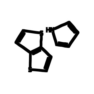 c1cc2sccc2s1.c1cc[nH]c1